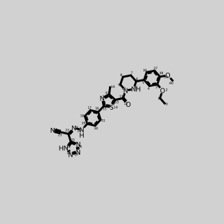 CCOc1cc(C2CCCN(C(=O)c3sc(-c4ccc(NN=C(C#N)c5nnn[nH]5)cc4)nc3C)N2)ccc1OC